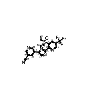 CCS(=O)(=O)c1cc(C(F)(F)F)cnc1-c1ncc(-c2cncc(C#N)c2)n1C